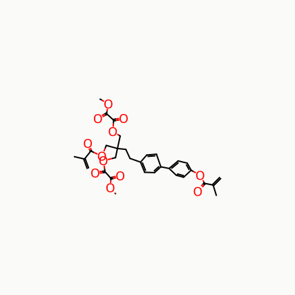 C=C(C)C(=O)OCC(CCc1ccc(-c2ccc(OC(=O)C(=C)C)cc2)cc1)(COC(=O)C(=O)OC)COC(=O)C(=O)OC